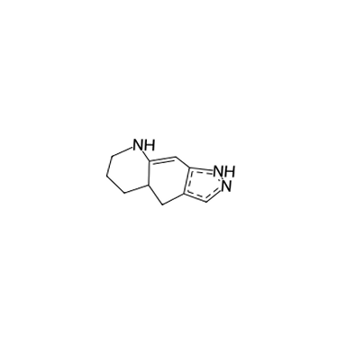 C1=C2NCCCC2Cc2cn[nH]c21